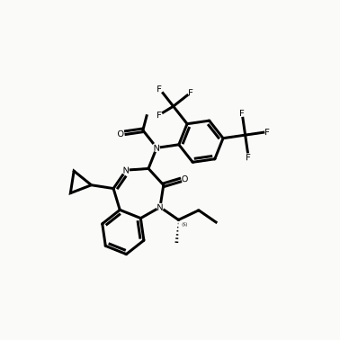 CC[C@H](C)N1C(=O)C(N(C(C)=O)c2ccc(C(F)(F)F)cc2C(F)(F)F)N=C(C2CC2)c2ccccc21